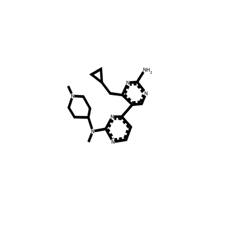 CN1CCC(N(C)c2nccc(-c3cnc(N)nc3CC3CC3)n2)CC1